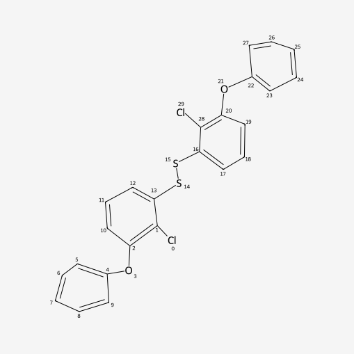 Clc1c(Oc2ccccc2)cccc1SSc1cccc(Oc2ccccc2)c1Cl